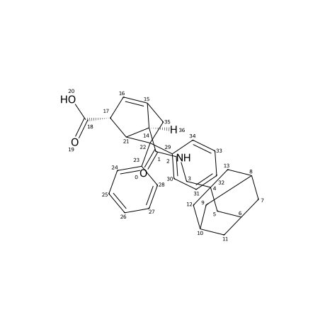 O=C(NCC12CC3CC(CC(C3)C1)C2)[C@@H]1C2=C[C@@H](C(=O)O)C1C(c1ccccc1)(c1ccccc1)C2